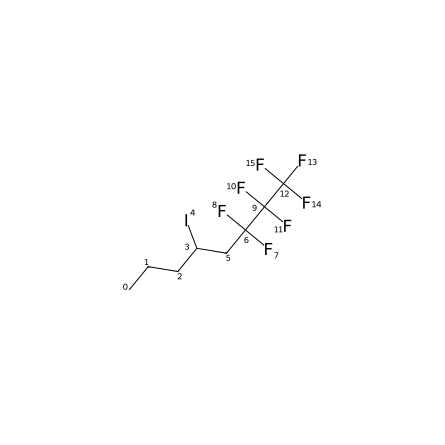 CCCC(I)CC(F)(F)C(F)(F)C(F)(F)F